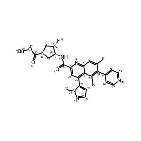 Cc1cc2nc(C(=O)N[C@@H]3CN(C(=O)OC(C)(C)C)C[C@@H]3F)cc(-c3ccnn3C)c2c(C)c1-c1ccncc1